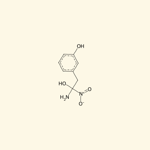 NC(O)(Cc1cccc(O)c1)[N+](=O)[O-]